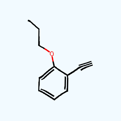 C#Cc1ccccc1OCCC